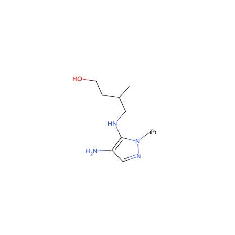 CC(CCO)CNc1c(N)cnn1C(C)C